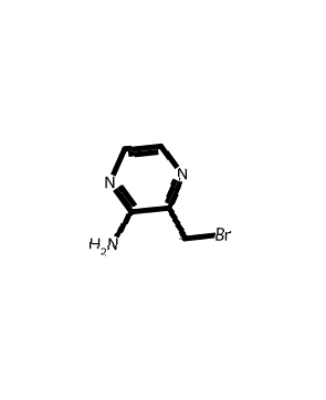 Nc1nccnc1[CH]Br